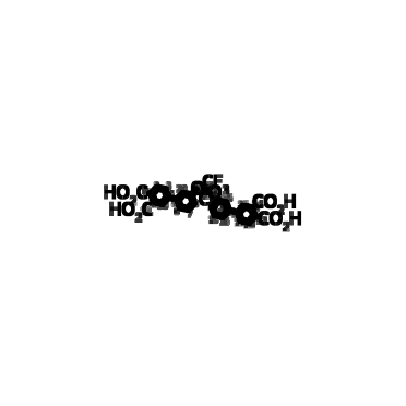 O=C(O)c1ccc(-c2cccc(OC(Oc3cccc(-c4ccc(C(=O)O)c(C(=O)O)c4)c3)(C(F)(F)F)C(F)(F)F)c2)cc1C(=O)O